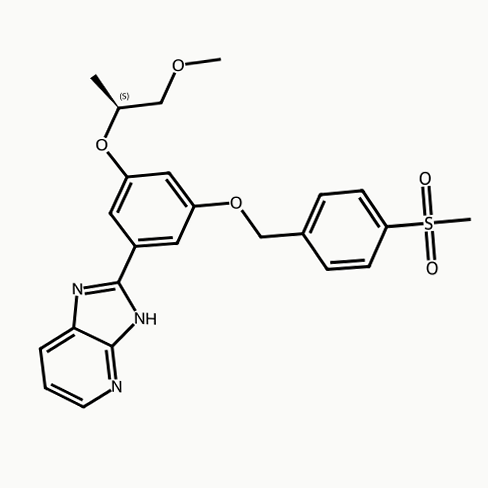 COC[C@H](C)Oc1cc(OCc2ccc(S(C)(=O)=O)cc2)cc(-c2nc3cccnc3[nH]2)c1